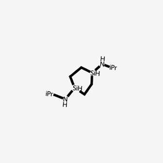 CC(C)N[SiH]1CC[SiH](NC(C)C)CC1